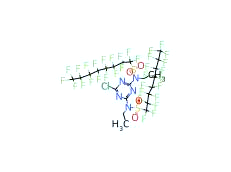 CCN(c1nc(Cl)nc(N(CC)S(=O)(=O)C(F)(F)C(F)(F)C(F)(F)C(F)(F)C(F)(F)C(F)(F)C(F)(F)C(F)(F)F)n1)S(=O)(=O)C(F)(F)C(F)(F)C(F)(F)C(F)(F)C(F)(F)C(F)(F)C(F)(F)C(F)(F)F